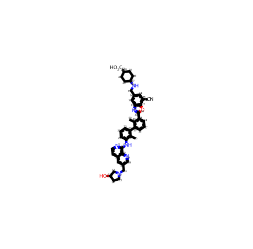 Cc1c(Nc2nccc3cc(CN4CCC(O)C4)cnc23)cccc1-c1cccc(-c2nc3cc(CNC4CCC(C(=O)O)CC4)cc(C#N)c3o2)c1C